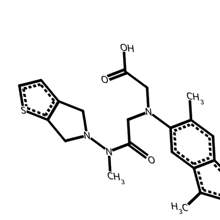 Cc1cc2onc(C)c2cc1N(CC(=O)O)CC(=O)N(C)N1Cc2ccsc2C1